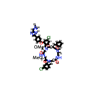 COC[C@@H]1NC(=O)[C@H](COC)N(Cc2ccc(Cl)cc2Oc2ccc(-c3cnc(CN(C)C)n3C)cc2)C(=O)C[C@@H](Cc2ccccc2)C(=O)N(C)[C@@H](C)CNC(=O)C[C@H](Cc2ccc(Cl)cc2)N(C)C1=O